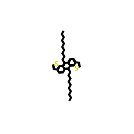 CCCCCCCCCCc1c2ccc3ccsc3c2c(CCCCCCCCCC)c2ccc3ccsc3c12